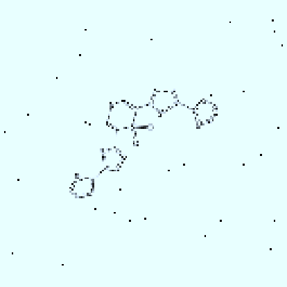 O=S1(=O)C(c2ccc(-c3cccs3)s2)=CSC=C1c1ccc(-c2cccs2)s1